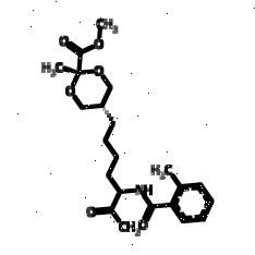 COC(=O)[C@]1(C)OC[C@H](CCCCC(NC(=O)c2ccccc2C)C(C)=O)CO1